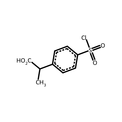 CC(C(=O)O)c1ccc(S(=O)(=O)Cl)cc1